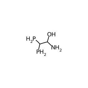 NC(O)C(P)P